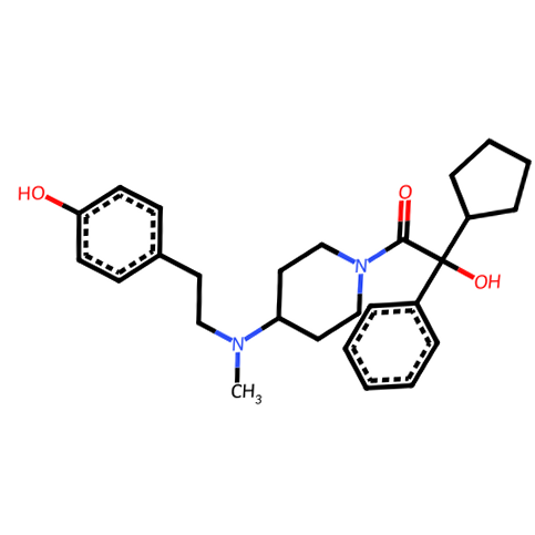 CN(CCc1ccc(O)cc1)C1CCN(C(=O)C(O)(c2ccccc2)C2CCCC2)CC1